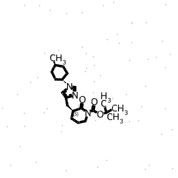 CC(C)(C)OC(=O)N1CCC[C@@H](Cc2cn([C@H]3CC[C@H](C)CC3)cn2)C1=O